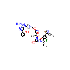 Cc1ncsc1-c1ccc([C@H](C)NC(=O)[C@@H]2C[C@@H](O)CN2C(=O)C(c2cc(OCCN3CCC(n4nc(N)c5nnc(-c6ccccc6O)cc54)CC3)no2)C(C)C)c(F)c1